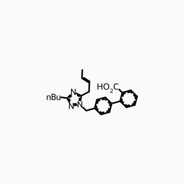 C/C=C/Cc1nc(CCCC)nn1Cc1ccc(-c2ccccc2C(=O)O)cc1